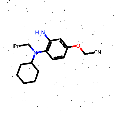 CC(C)CN(c1ccc(OCC#N)cc1N)C1CCCCC1